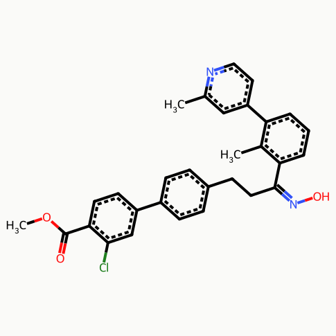 COC(=O)c1ccc(-c2ccc(CC/C(=N/O)c3cccc(-c4ccnc(C)c4)c3C)cc2)cc1Cl